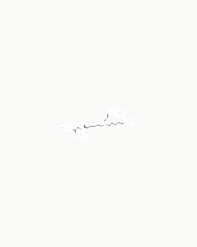 CCCCCCCCC(CCCCCC)COC(=O)CCCCCN(CCCCCC=O)CCCC(=O)OCC